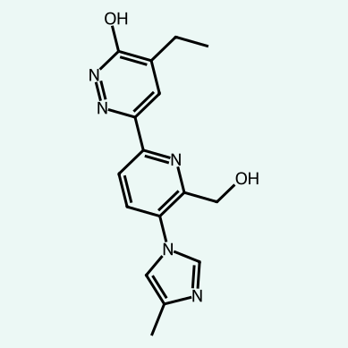 CCc1cc(-c2ccc(-n3cnc(C)c3)c(CO)n2)nnc1O